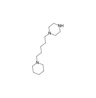 C1CCN(CCCCCN2CCNCC2)CC1